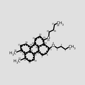 CCCCOc1ccc2c3ccc(C)c4c(C)ccc(c5ccc(OCCCC)c1c25)c43